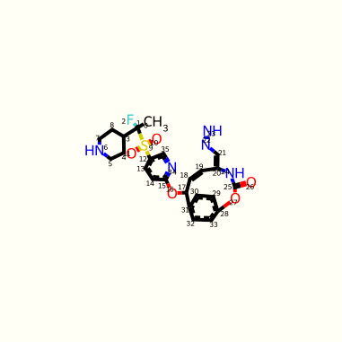 CC(F)(C1CCNCC1)S(=O)(=O)c1ccc(OC2/C=C\C(=C/N=N)NC(=O)Oc3ccc2cc3)nc1